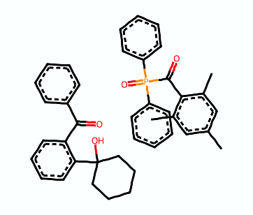 Cc1cc(C)c(C(=O)P(=O)(c2ccccc2)c2ccccc2)c(C)c1.O=C(c1ccccc1)c1ccccc1C1(O)CCCCC1